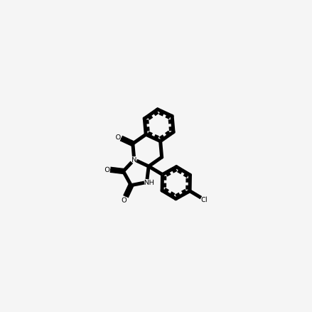 O=C1NC2(c3ccc(Cl)cc3)Cc3ccccc3C(=O)N2C1=O